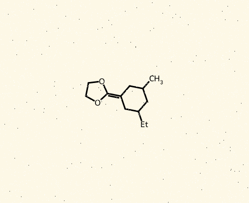 CCC1CC(=C2OCCO2)CC(C)C1